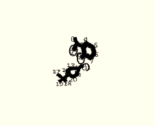 CC(=O)c1ccccc1OC(=O)c1ccc(C(C)(C)C)cc1